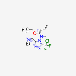 C=C/C=C(/OCC(F)(F)F)N(C)n1c(/C=N\CC)nnc1C(F)(F)Cl